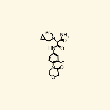 CC(C)CN(CC1CC1)[C@@H](C(N)=O)C(=O)Nc1ccc(N2CCOCC2=O)c(F)c1